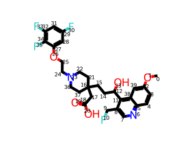 COc1ccc2ncc(CF)c(C(O)CCC3(CC(=O)O)CCN(CCOc4cc(F)cc(F)c4F)CC3)c2c1